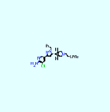 COCCN1C[C@@H]2[C@H](C1)[C@@H]2c1cc(-c2cnc(N)c(Cl)c2)nn1CC(C)C